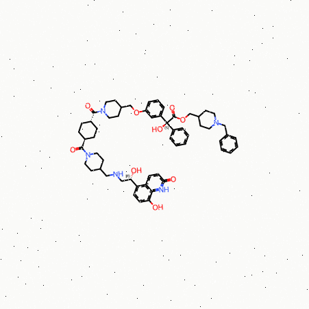 O=C(OCC1CCN(Cc2ccccc2)CC1)[C@](O)(c1ccccc1)c1cccc(OCC2CCN(C(=O)[C@H]3CC[C@H](C(=O)N4CCC(CNC[C@H](O)c5ccc(O)c6[nH]c(=O)ccc56)CC4)CC3)CC2)c1